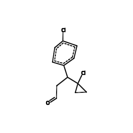 O=CCC(c1ccc(Cl)cc1)C1(Cl)CC1